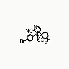 N#Cc1nccc(C2(N(Cc3ccc(Br)cc3)C(=O)O)CCCCC2)n1